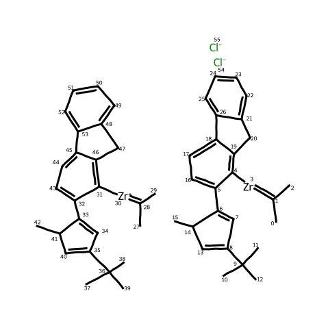 C[C](C)=[Zr+][c]1c(C2=CC(C(C)(C)C)=CC2C)ccc2c1Cc1ccccc1-2.C[C](C)=[Zr+][c]1c(C2=CC(C(C)(C)C)=CC2C)ccc2c1Cc1ccccc1-2.[Cl-].[Cl-]